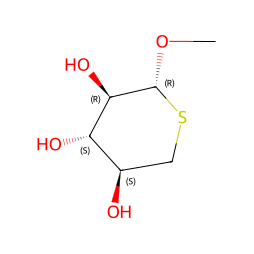 CO[C@@H]1SC[C@@H](O)[C@H](O)[C@H]1O